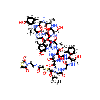 CC[C@H](C)[C@H](NC(=O)[C@H](CO)NC(=O)[C@H](Cc1ccc(O)cc1)NC(=O)[C@H](CC(=O)O)NC(=O)[C@H](CO)NC(=O)[C@@H](NC(=O)[C@H](Cc1ccccc1)NC(=O)[C@@H](NC(=O)CNC(=O)[C@H](CCC(=O)O)NC(=O)C[S+]([O-])CC(=O)NCCN1C(=O)CSC1=O)[C@@H](C)O)[C@@H](C)O)C(=O)N[C@@H](Cc1ccc(O)cc1)C(=O)N[C@@H](CC(C)C)C(=O)N[C@@H](CC(=O)O)C(=O)N[C@H](C)CCCCN